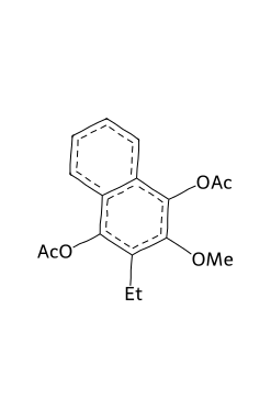 CCc1c(OC)c(OC(C)=O)c2ccccc2c1OC(C)=O